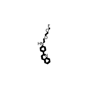 FCOCCOCCNc1ccc(-c2ccc3ccccc3n2)cc1